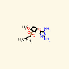 COc1ccc(Oc2cnc(N)nc2N)cc1S(=O)(=O)CCC(C)C